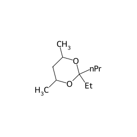 CCCC1(CC)OC(C)CC(C)O1